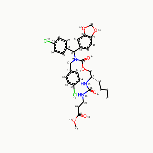 CCCC[C@@H](COC(=O)N(Cc1ccc(Cl)cc1)C(c1ccc(Cl)cc1)c1ccc2c(c1)OCO2)NC(=O)NCCC(=O)OC